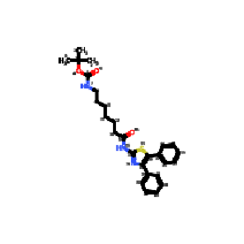 CC(C)(C)OC(=O)NCCCCCCC(=O)Nc1nc(-c2ccccc2)c(-c2ccccc2)s1